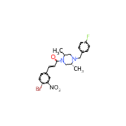 C[C@@H]1CN(C(=O)C=Cc2ccc(Br)c([N+](=O)[O-])c2)[C@@H](C)CN1Cc1ccc(F)cc1